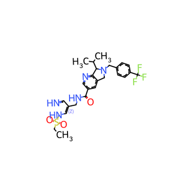 CCS(=O)(=O)N/C=C(\C=N)CNC(=O)c1cnc2c(c1)CN(Cc1ccc(C(F)(F)F)cc1)C2C(C)C